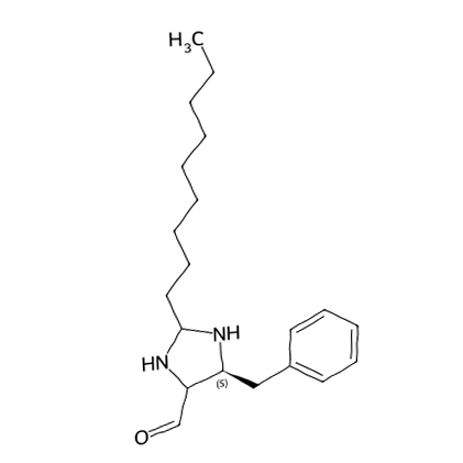 CCCCCCCCCC1NC(C=O)[C@H](Cc2ccccc2)N1